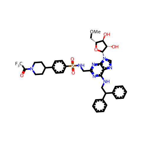 COC[C@H]1O[C@@H](n2cnc3c(NCC(c4ccccc4)c4ccccc4)nc(CNS(=O)(=O)c4ccc(C5CCN(C(=O)C(F)(F)F)CC5)cc4)nc32)[C@@H](O)[C@@H]1O